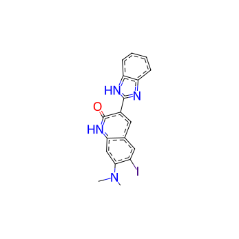 CN(C)c1cc2[nH]c(=O)c(-c3nc4ccccc4[nH]3)cc2cc1I